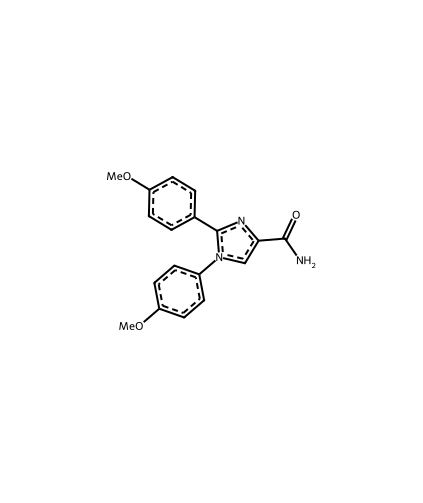 COc1ccc(-c2nc(C(N)=O)cn2-c2ccc(OC)cc2)cc1